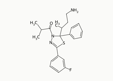 CC(C)C(=O)N1N=C(c2cccc(F)c2)SC1(c1ccccc1)C(C)CCN